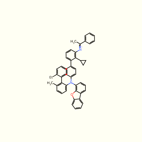 CCc1ccccc1-c1c(C)cccc1N(c1ccc(-c2cccc(/N=C(\C)c3ccccc3)c2C2CC2)cc1)c1cccc2c1oc1ccccc12